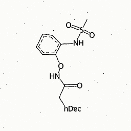 CCCCCCCCCCCC(=O)NOc1ccccc1NS(C)(=O)=O